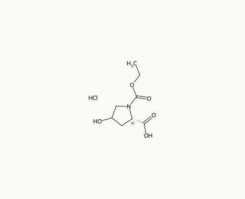 CCOC(=O)N1CC(O)C[C@H]1C(=O)O.Cl